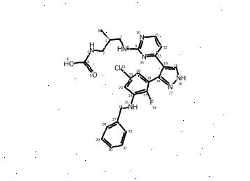 C[C@H](CNC(=O)O)CNc1nccc(-c2c[nH]nc2-c2cc(Cl)cc(NCc3ccccc3)c2F)n1